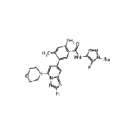 CCc1nc2cc(-c3cc(C(=O)Nc4cnn(C(C)(C)C)c4F)c(P)cc3C)cc(N3CCOCC3)n2n1